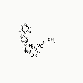 C=CCO/N=C1\CCOc2ncc(-c3cnc(-c4cccnc4)s3)nc21